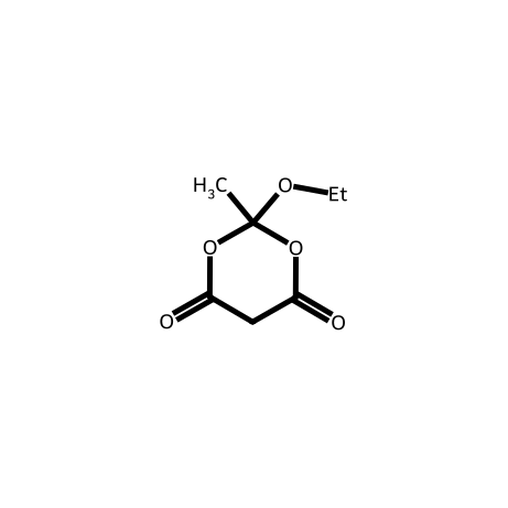 CCOC1(C)OC(=O)CC(=O)O1